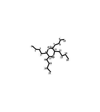 CCCCC1SC(CCCC)C(CCCC)SC1CCCC